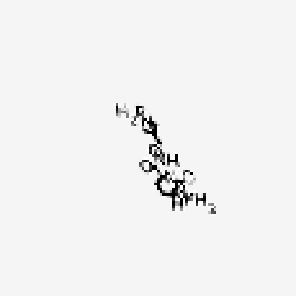 O=C(NOCC1CN(P)C1)[C@@H]1CC[C@H]2CN1C(=O)N2P